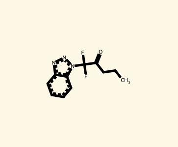 CCCC(=O)C(F)(F)n1nnc2ccccc21